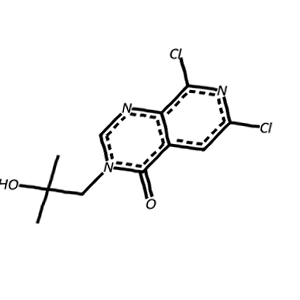 CC(C)(O)Cn1cnc2c(Cl)nc(Cl)cc2c1=O